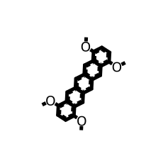 COc1ccc(OC)c2cc3cc4cc5c(OC)ccc(OC)c5cc4cc3cc12